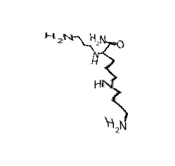 NCCCNCCCC(NCCCN)C(N)=O